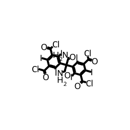 NC(=O)C(C(N)=O)(c1c(I)c(C(=O)Cl)c(I)c(C(=O)Cl)c1I)c1c(I)c(C(=O)Cl)c(I)c(C(=O)Cl)c1I